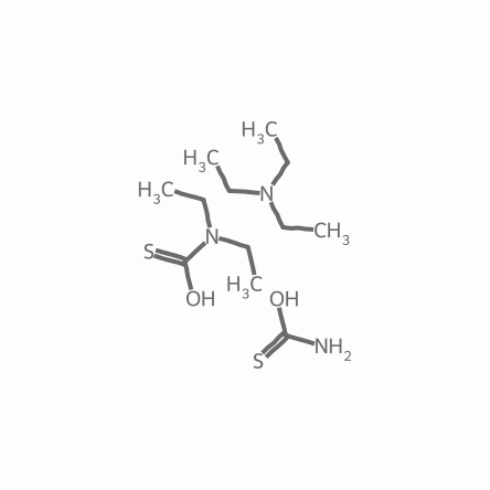 CCN(CC)C(O)=S.CCN(CC)CC.NC(O)=S